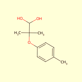 Cc1ccc(OC(C)(C)C(O)O)cc1